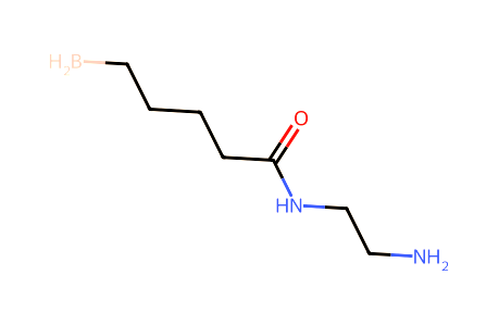 BCCCCC(=O)NCCN